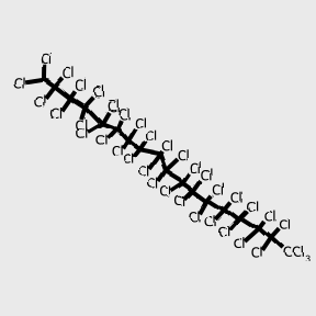 Cl[C](Cl)C(Cl)(Cl)C(Cl)(Cl)C(Cl)(Cl)C(Cl)(Cl)C(Cl)(Cl)C(Cl)(Cl)C(Cl)(Cl)C(Cl)(Cl)C(Cl)(Cl)C(Cl)(Cl)C(Cl)(Cl)C(Cl)(Cl)C(Cl)(Cl)C(Cl)(Cl)C(Cl)(Cl)C(Cl)(Cl)C(Cl)(Cl)Cl